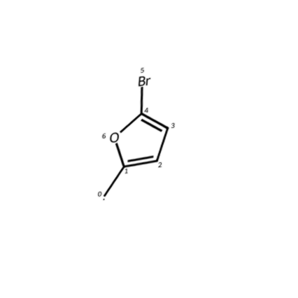 [CH2]c1ccc(Br)o1